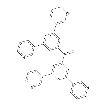 O=C(c1cc(C2=CPCC=C2)cc(-c2cccnc2)c1)c1cc(-c2cccnc2)cc(-c2cccnc2)c1